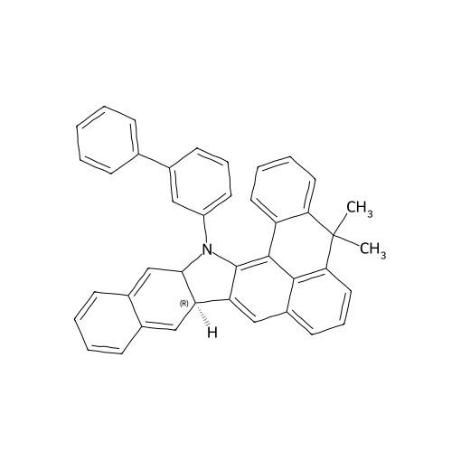 CC1(C)c2ccccc2-c2c3c(cc4cccc1c24)[C@H]1C=c2ccccc2=CC1N3c1cccc(-c2ccccc2)c1